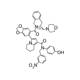 O=C(c1cc(-c2cc3c(cc2C(=O)N2Cc4ccccc4C[C@H]2CN2CCOCC2)OCO3)n2c1CCCC2)N(Cc1cccc([N+](=O)[O-])c1)c1ccc(O)cc1